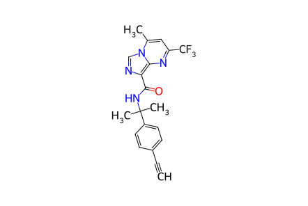 C#Cc1ccc(C(C)(C)NC(=O)c2ncn3c(C)cc(C(F)(F)F)nc23)cc1